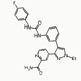 CCn1cc(-c2cccc(NC(=O)Nc3ccc(F)cc3)c2)c(-c2ccnc(C(N)=O)c2)n1